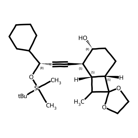 CC1[C@@H]2[C@@H](C#C[C@H](O[Si](C)(C)C(C)(C)C)C3CCCCC3)[C@H](O)CC[C@@H]2C12OCCO2